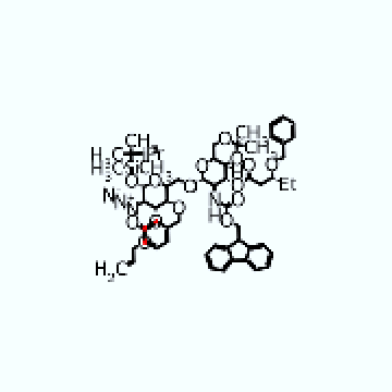 C=CCOC(=O)O[C@@H]1C(N=[N+]=[N-])[C@H](O[Si](C)(C)C(C)(C)C(C)C)OC(CO[C@@H]2OC3COC(C)(C)O[C@H]3[C@H](OC(=O)C[C@@H](CC)OCc3ccccc3)C2NC(=O)OCC2c3ccccc3-c3ccccc32)[C@H]1OCc1ccccc1